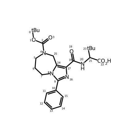 CC(C)(C)OC(=O)N1CCCn2c(-c3ccccc3)nc(C(=O)NC(C(=O)O)C(C)(C)C)c2C1